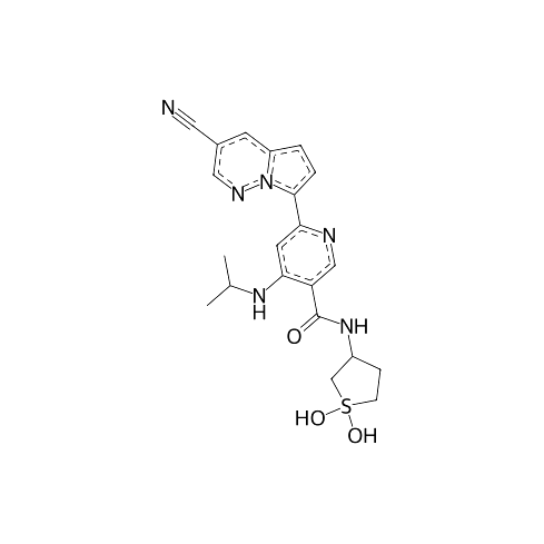 CC(C)Nc1cc(-c2ccc3cc(C#N)cnn23)ncc1C(=O)NC1CCS(O)(O)C1